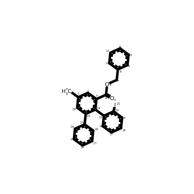 Cc1cc(C(=O)OCc2ccccc2)c(-c2ccccc2I)c(-c2ccccc2)c1